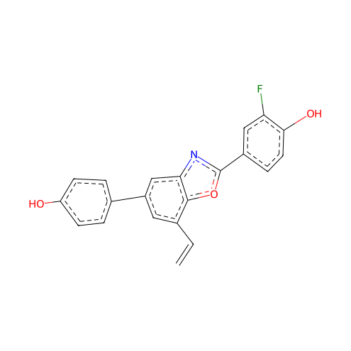 C=Cc1cc(-c2ccc(O)cc2)cc2nc(-c3ccc(O)c(F)c3)oc12